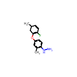 Cc1cc(OC2=C(F)C=CC(C)C2)ccc1NN